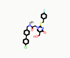 CCCN(Cc1ccc(-c2ccc(Cl)cc2)cc1)C(=O)Cn1cc(CO)c(=O)nc1SCc1ccc(F)cc1